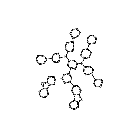 c1ccc(-c2ccc(N(c3ccc(-c4ccccc4)cc3)c3cc(-c4cc(-c5ccc6oc7ccccc7c6c5)cc(-c5ccc6sc7ccccc7c6c5)c4)cc(N(c4ccc(-c5ccccc5)cc4)c4ccc(-c5ccccc5)cc4)c3)cc2)cc1